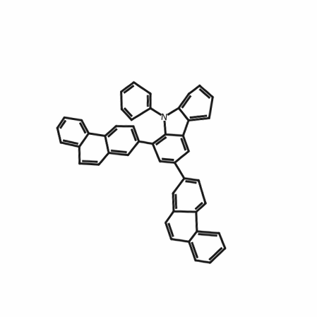 c1ccc(-n2c3ccccc3c3cc(-c4ccc5c(ccc6ccccc65)c4)cc(-c4ccc5c(ccc6ccccc65)c4)c32)cc1